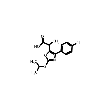 CC(C)Sc1nc(-c2ccc(Cl)cc2)c(C(C)C(=O)O)o1